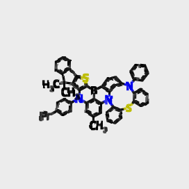 Cc1cc2c3c(c1)N(c1ccc(C(C)C)cc1)c1c(sc4c1C(C)(C)c1ccccc1-4)B3c1ccc3cc1N2c1ccccc1Sc1ccccc1N3c1ccccc1